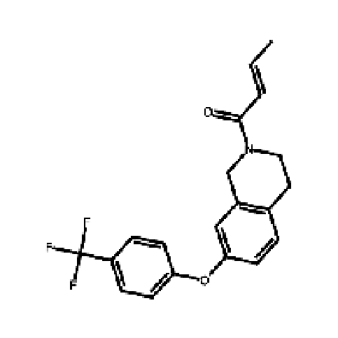 C/C=C/C(=O)N1CCc2ccc(Oc3ccc(C(F)(F)F)cc3)cc2C1